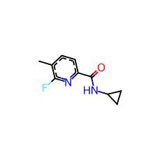 Cc1ccc(C(=O)NC2CC2)nc1F